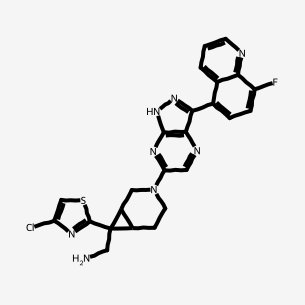 NCC1(c2nc(Cl)cs2)C2CCN(c3cnc4c(-c5ccc(F)c6ncccc56)n[nH]c4n3)CC21